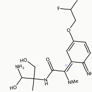 CN/C(C(=O)NC(C)(CO)C(N)O)=C1/C=C(OCC(F)F)C=CC1=N